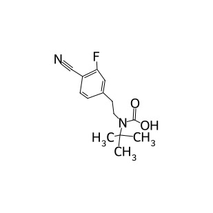 CC(C)(C)N(CCc1ccc(C#N)c(F)c1)C(=O)O